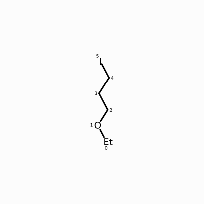 [CH2]COCCCI